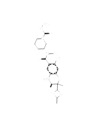 CC1OC(C2(C)Oc3cc(C(F)(F)F)c(C(=O)N(C(C)C)[C@@H]4CCCN(C(=O)OC(C)(C)C)C4)cc3NC2=O)O1